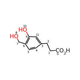 O=C(O)CCc1ccc(CO)c(O)c1